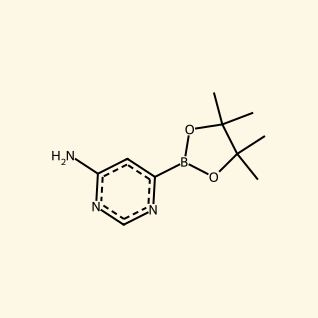 CC1(C)OB(c2cc(N)ncn2)OC1(C)C